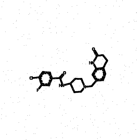 O=C1CCc2ccc(CN3CCC(NC(=O)c4ccc(Cl)c(F)c4)CC3)cc2N1